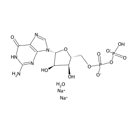 Nc1nc2c(ncn2[C@@H]2O[C@H](COP(=O)([O-])OP(=O)([O-])O)[C@@H](O)[C@H]2O)c(=O)[nH]1.O.[Na+].[Na+]